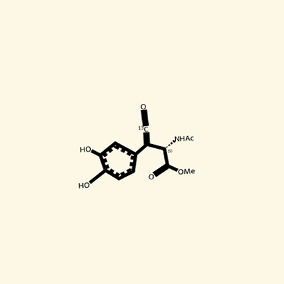 COC(=O)[C@@H](NC(C)=O)C(=[13C]=O)c1ccc(O)c(O)c1